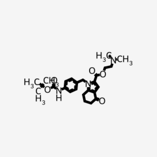 CN(C)CCOC(=O)c1cc2c(n1Cc1ccc(NC(=O)OC(C)(C)C)cc1)CCCC2=O